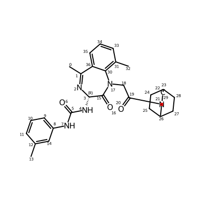 CC1=N[C@@H](NC(=O)Nc2cccc(C)c2)C(=O)N(CC(=O)N2CC3CCC(CC3)C2)c2c(C)cccc21